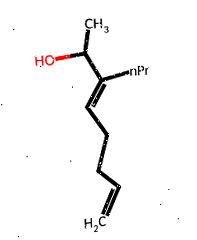 C=CCC/C=C(\CCC)C(C)O